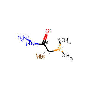 Br.CP(C)CC(=O)NN